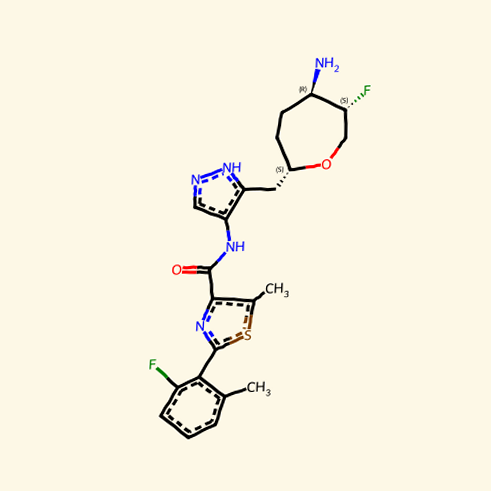 Cc1cccc(F)c1-c1nc(C(=O)Nc2cn[nH]c2C[C@@H]2CC[C@@H](N)[C@H](F)CO2)c(C)s1